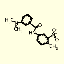 Cc1ccc(NC(=O)c2cccc(N(C)C)c2)cc1[N+](=O)[O-]